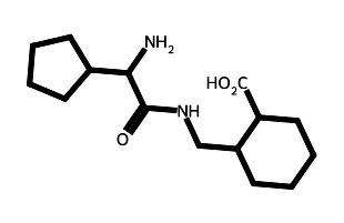 NC(C(=O)NCC1CCCCC1C(=O)O)C1CCCC1